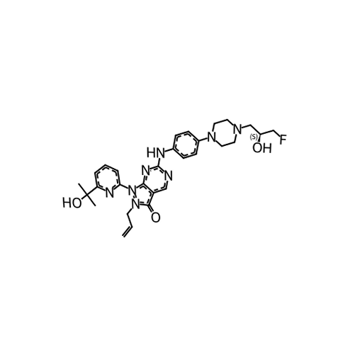 C=CCn1c(=O)c2cnc(Nc3ccc(N4CCN(C[C@H](O)CF)CC4)cc3)nc2n1-c1cccc(C(C)(C)O)n1